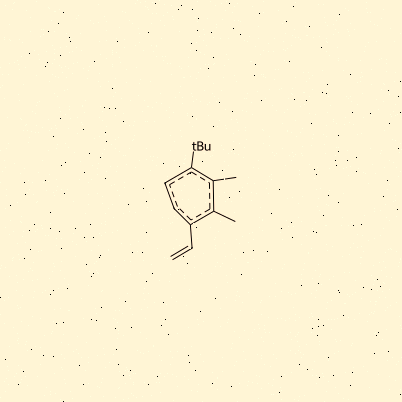 C=Cc1ccc(C(C)(C)C)c(C)c1C